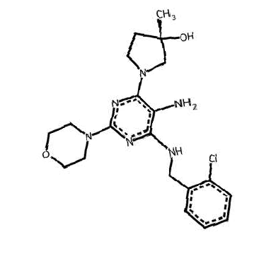 C[C@]1(O)CCN(c2nc(N3CCOCC3)nc(NCc3ccccc3Cl)c2N)C1